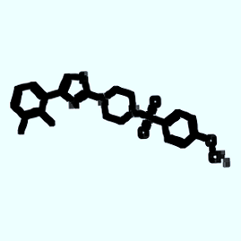 Cc1cccc(-c2csc(N3CCN(S(=O)(=O)c4ccc(OC(F)(F)F)cc4)CC3)n2)c1C